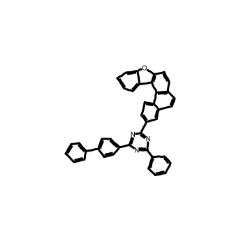 c1ccc(-c2ccc(-c3nc(-c4ccccc4)nc(-c4ccc5c(ccc6ccc7oc8ccccc8c7c65)c4)n3)cc2)cc1